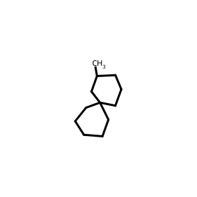 CC1CCCC2(CCCCC2)C1